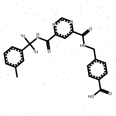 [2H]C([2H])(NC(=O)c1cc(C(=O)NCc2ccc(C(=O)O)cc2)ncn1)c1cccc(C)c1